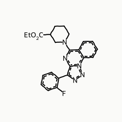 CCOC(=O)C1CCCN(c2nc3c(-c4ccccc4F)nnn3c3ccccc23)C1